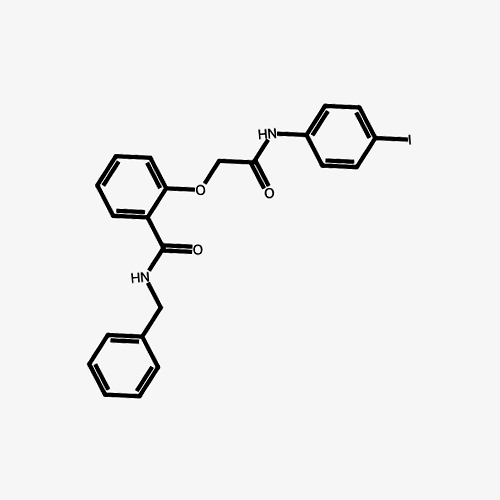 O=C(COc1ccccc1C(=O)NCc1ccccc1)Nc1ccc(I)cc1